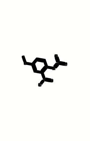 COc1ccc(N=S(=O)=O)c([N+](=O)[O-])c1